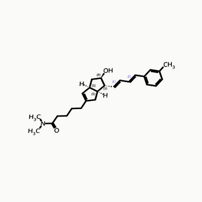 Cc1cccc(/C=C/C=C/[C@@H]2[C@H]3CC(CCCCC(=O)N(C)C)=C[C@H]3C[C@H]2O)c1